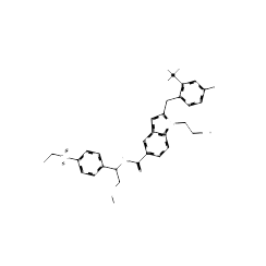 CCS(=O)(=O)c1ccc(C(COC)NC(=O)c2ccc3c(c2)cc(Cc2ccc(Cl)cc2C(F)(F)F)n3CCO)cc1